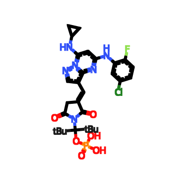 CC(C)(C)C(OP(=O)(O)O)(N1C(=O)C/C(=C\c2cnn3c(NC4CC4)cc(Nc4cc(Cl)ccc4F)nc23)C1=O)C(C)(C)C